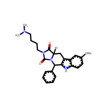 CCC12Cc3c([nH]c4ccc(OC)cc34)C(c3ccccc3)N1C(=O)N(CCCCN(C)C)C2=O